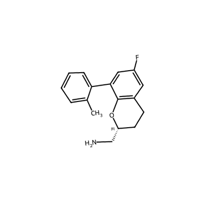 Cc1ccccc1-c1cc(F)cc2c1O[C@@H](CN)CC2